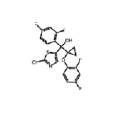 OC(c1cnc(Cl)s1)(c1ccc(F)cc1F)C1(Oc2ccc(F)cc2F)CC1